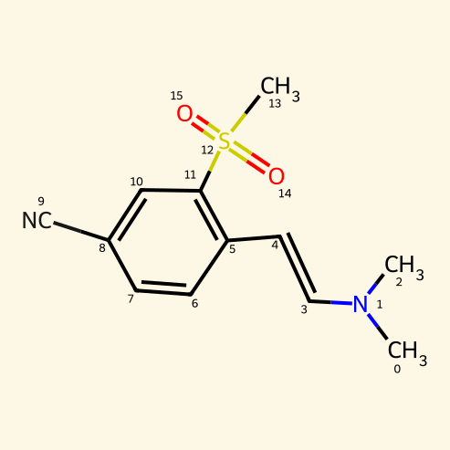 CN(C)C=Cc1ccc(C#N)cc1S(C)(=O)=O